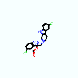 NC(CN1CCc2c([nH]c3ccc(Cl)cc23)C1)(OC=O)c1cccc(Cl)c1